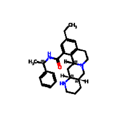 CCc1cc2c(c(C(=O)N[C@H](C)c3ccccc3)c1)[C@H]1C[C@@H]3NCCC[C@@H]3CN1CC2